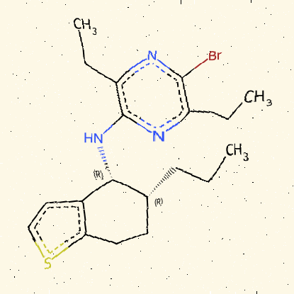 CCC[C@@H]1CCc2sccc2[C@@H]1Nc1nc(CC)c(Br)nc1CC